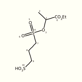 CCOC(=O)C(C)OS(=O)(=O)CCCS(=O)(=O)O